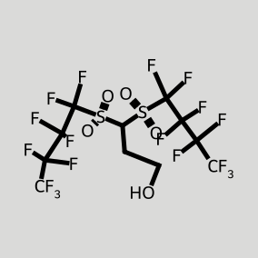 O=S(=O)(C(CCO)S(=O)(=O)C(F)(F)C(F)(F)C(F)(F)C(F)(F)F)C(F)(F)C(F)(F)C(F)(F)C(F)(F)F